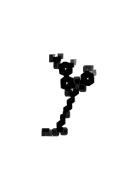 COC(=O)CCCOCCCC[C@H]1CN(S(=O)(=O)c2cccc(C(F)(F)F)c2)c2cc(-c3cc(F)cc(OC(F)F)c3)ccc2O1